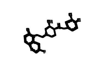 O=c1ccc2ncc(F)cc2n1CCN1CC[C@H](NCc2ccc(Cl)c(Cl)c2)[C@H](O)C1